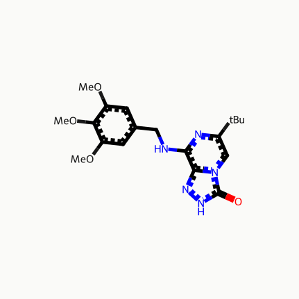 COc1cc(CNc2nc(C(C)(C)C)cn3c(=O)[nH]nc23)cc(OC)c1OC